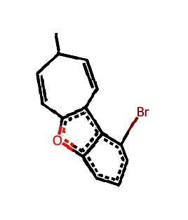 CC1C=Cc2oc3cccc(Br)c3c2C=C1